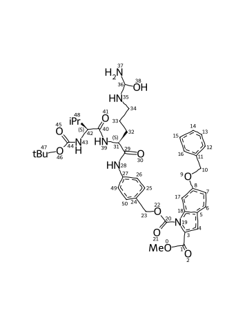 COC(=O)c1cc2ccc(OCc3ccccc3)cc2n1C(=O)OCc1ccc(NC(=O)[C@H](CCCNC(N)O)NC(=O)[C@@H](NC(=O)OC(C)(C)C)C(C)C)cc1